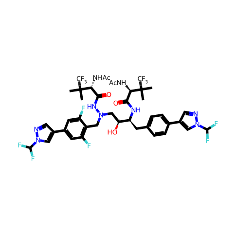 CC(=O)N[C@H](C(=O)N[C@@H](Cc1ccc(-c2cnn(C(F)F)c2)cc1)[C@@H](O)CN(Cc1c(F)cc(-c2cnn(C(F)F)c2)cc1F)NC(=O)[C@@H](NC(C)=O)C(C)(C)C(F)(F)F)C(C)(C)C(F)(F)F